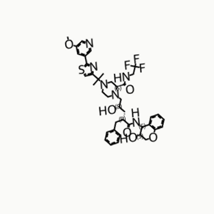 COc1cncc(-c2nc(C(C)(C)N3CCN(C[C@@H](O)C[C@@H](Cc4ccccc4)C(=O)N[C@H]4c5ccccc5OC[C@H]4O)[C@H](C(=O)NCC(F)(F)F)C3)cs2)c1